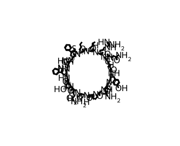 CCCC[C@H]1C(=O)N(C)[C@@H](CCCC)C(=O)N[C@@H](CCCNC(=N)N)C(=O)N[C@H](C(=O)NCC(N)=O)CSCC(=O)N[C@@H](Cc2ccc(O)cc2)C(=O)N(C)[C@@H](C)C(=O)N[C@@H](CC(N)=O)C(=O)N2CCC[C@H]2C(=O)N[C@@H](CN)C(=O)N[C@@H](CCC(N)=O)C(=O)N2C[C@H](O)C[C@H]2C(=O)N[C@@H](Cc2c[nH]c3ccccc23)C(=O)N[C@@H](CO)C(=O)N[C@@H](Cc2csc3ccccc23)C(=O)N1C